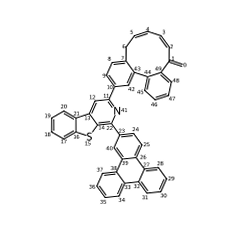 C=C1/C=C\C=C/Cc2ccc(-c3cc4c(sc5ccccc54)c(-c4ccc5c6ccccc6c6ccccc6c5c4)n3)cc2-c2ccccc21